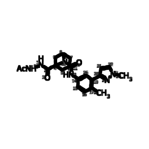 CC(=O)NNC(=O)C12CCCC(C1)N2C(=O)Nc1ccc(C)c(-c2ccn(C)n2)c1